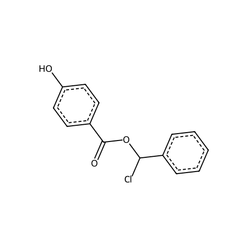 O=C(OC(Cl)c1ccccc1)c1ccc(O)cc1